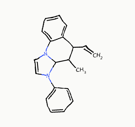 C=CC1c2ccccc2N2C=CN(c3ccccc3)C2C1C